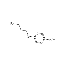 CCCc1ccc(SCCCBr)cc1